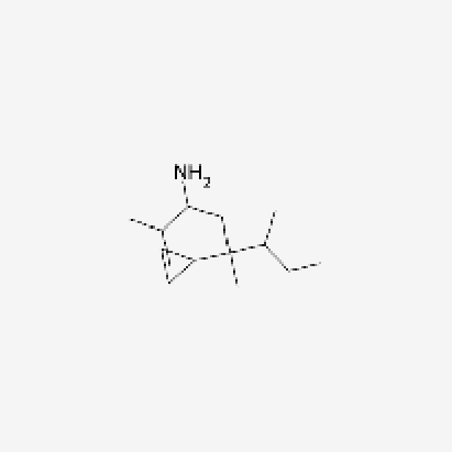 CCC(C)C(C)(CC(N)C(C)C)C1CC1